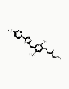 CCC(=O)CCc1cc(C)c(Cc2nc(-c3ccc(C)cc3)cs2)cc1C